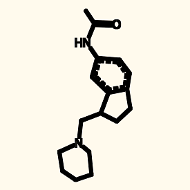 CC(=O)Nc1ccc2c(c1)C(CN1CCCCC1)CC2